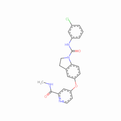 CNC(=O)c1cc(Oc2ccc3c(c2)CCN3C(=O)Nc2cccc(Cl)c2)ccn1